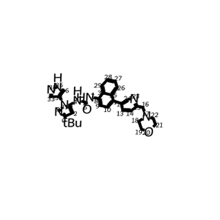 CC(C)(C)c1cc(NC(=O)Nc2ccc(-c3ccc(CN4CCOCC4)nc3)c3ccccc23)n(-c2cn[nH]c2)n1